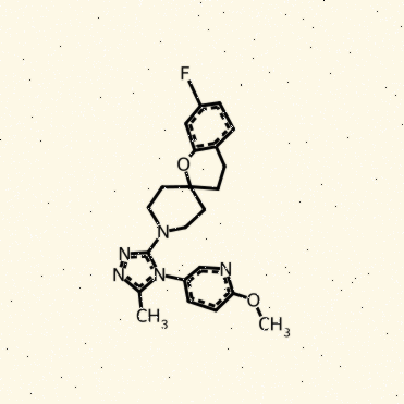 COc1ccc(-n2c(C)nnc2N2CCC3(CCc4ccc(F)cc4O3)CC2)cn1